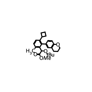 COC(=O)C(OC(C)(C)C)c1c(C)ccc(C2CCC2)c1-c1ccc2c(c1)CCCO2